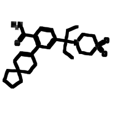 CCC(CC)(c1ccc(C(N)=O)c(C2=CCC3(CCCC3)CC2)c1)N1CCS(=O)(=O)CC1